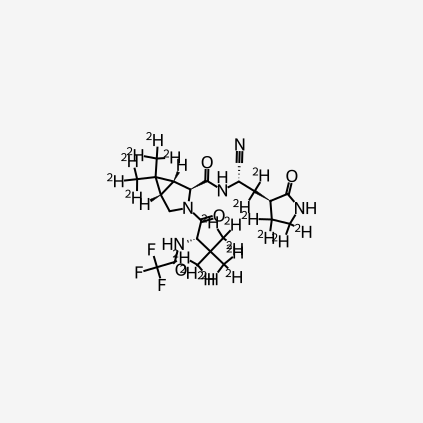 [2H]C([2H])([C@H]1C(=O)NC([2H])([2H])C1([2H])[2H])[C@@H](C#N)NC(=O)[C@@H]1[C@@H]2[C@H](CN1C(=O)[C@@H](NC(=O)C(F)(F)F)C(C([2H])([2H])[2H])(C([2H])([2H])[2H])C([2H])([2H])[2H])C2(C([2H])([2H])[2H])C([2H])([2H])[2H]